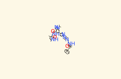 Cc1cc(C)c(CNC(=O)c2cc(-c3ccc(N4CCN(CCNC(=O)[C@H](C)CCC56CC7CC(CC(C7)C5)C6)CC4)nc3)cc3c2cnn3C(C)C)c(=O)[nH]1